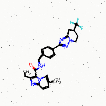 CCc1nc2ccc(C)cn2c1C(=O)NCc1ccc(-c2nc3n(n2)CCC(C(F)(F)F)C3)cc1